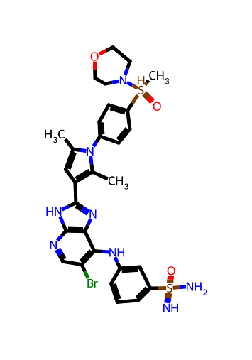 Cc1cc(-c2nc3c(Nc4cccc(S(=N)(N)=O)c4)c(Br)cnc3[nH]2)c(C)n1-c1ccc([SH](C)(=O)N2CCOCC2)cc1